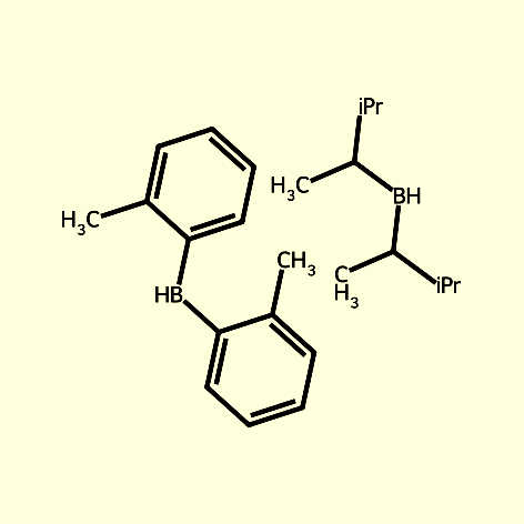 CC(C)C(C)BC(C)C(C)C.Cc1ccccc1Bc1ccccc1C